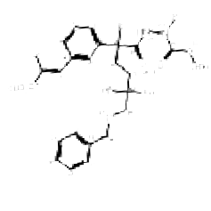 CCOC(=O)/C(C)=C/c1cccc(C(C)(CCC(F)(F)COCc2ccccc2)C(=O)NN(C)C(=O)OC(C)(C)C)c1